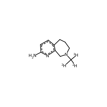 [2H]C([2H])([2H])N1CCCc2ccc(N)nc2C1